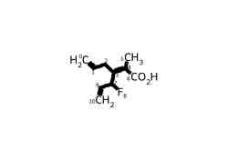 C=CCC(=C(C)C(=O)O)C(F)C=C